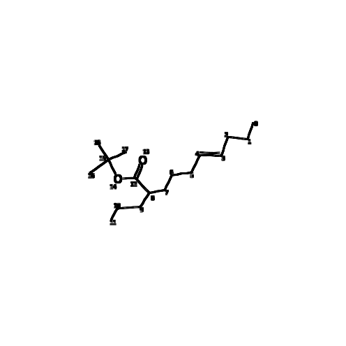 CCC/C=C/CCCC(CCC)C(=O)OC(C)(C)C